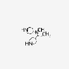 CCC(C1CCNCC1)N(C)C1CCNCC1